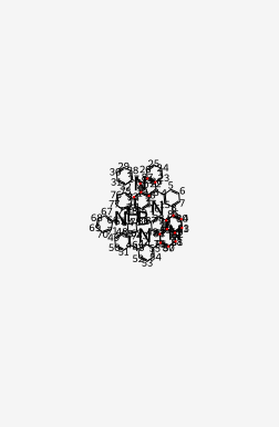 c1ccc(-c2cccc(-c3ccccc3)c2N2c3cc(N(c4ccccc4)c4ccccc4)ccc3B3c4c2c2c5c(c4N(c4c(-c6ccccc6)cccc4-c4ccccc4)C4CC(N(c6ccccc6)c6ccccc6)[C@H]34)CCCN5CCC2)cc1